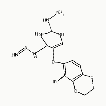 CC(C)c1c(OC2=CNC(NN)NC2NN=N)ccc2c1OCCO2